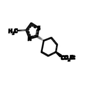 CCOC(=O)[C@H]1CC[C@H](c2nc(C)cs2)CC1